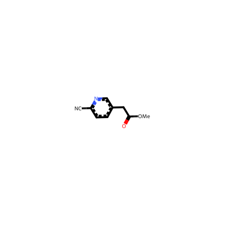 COC(=O)Cc1ccc(C#N)nc1